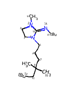 CN1CCN(CCCC(C)(C)CC(C)(C)C)C1=NC(C)(C)C